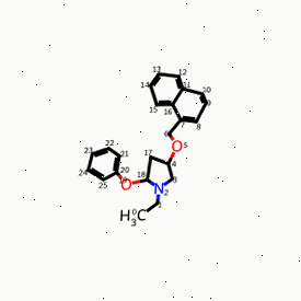 CCN1CC(OCc2cccc3ccccc23)CC1Oc1ccccc1